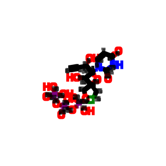 C#C[C@H](O)[C@@]1(n2ccc(=O)[nH]c2=O)O[C@](CCl)(COP(=O)(O)OP(=O)(O)OP(=O)(O)O)C1O